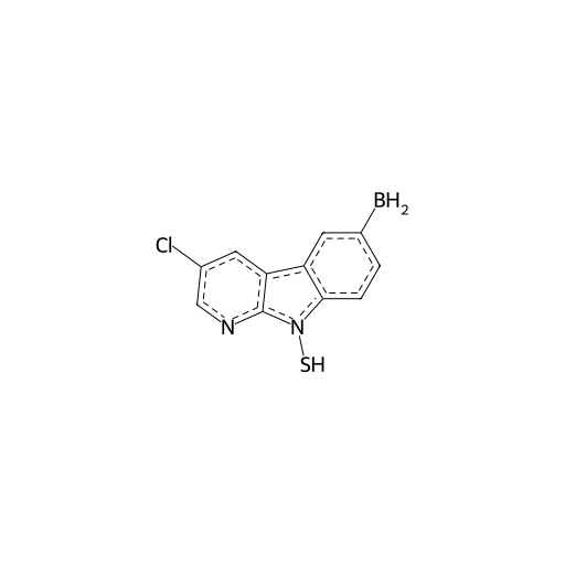 Bc1ccc2c(c1)c1cc(Cl)cnc1n2S